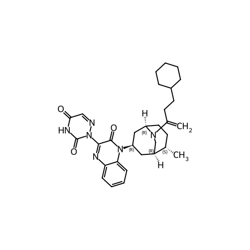 C=C(CCC1CCCCC1)N1C[C@@H]2C[C@@H](n3c(=O)c(-n4ncc(=O)[nH]c4=O)nc4ccccc43)C[C@H]1CC[C@@H]2C